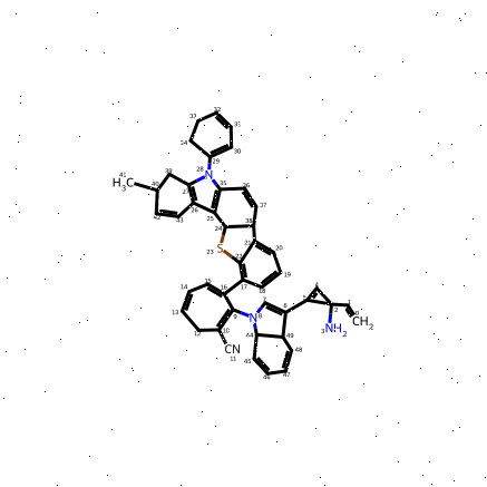 C=CC1(N)C=C1C1=CN(C2=C(C#N)CC=CC=C2c2cccc3c2SC2c4c5c(n(C6=CC=CCC6)c4C=CC32)CC(C)C=C5)C2C=CC=CC12